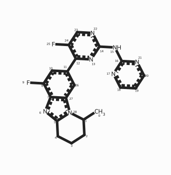 CC1CCCc2nc3c(F)cc(-c4nc(Nc5nc[c]cn5)ncc4F)cc3n21